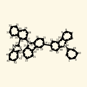 c1ccc(-n2c3ccccc3c3cc(-c4ccc5c(c4)c4ccccc4n5-c4ccc5ccccc5c4-c4nc5ccccc5s4)ccc32)cc1